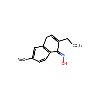 CCOC(=O)CC1=CCc2cc(OC)ccc2C1=NO